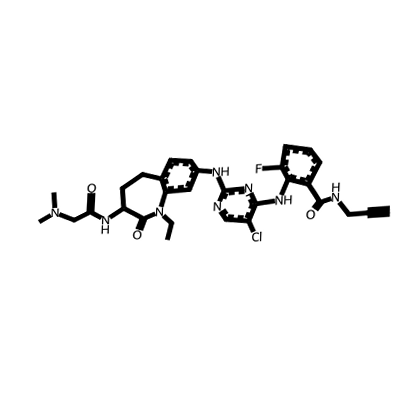 C#CCNC(=O)c1cccc(F)c1Nc1nc(Nc2ccc3c(c2)N(CC)C(=O)C(NC(=O)CN(C)C)CC3)ncc1Cl